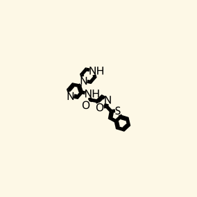 O=C(Nc1cnccc1N1CCNCC1)c1cnc(-c2cc3ccccc3s2)o1